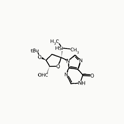 C[SiH](C)[C@@]1(n2cnc3c(=O)[nH]cnc32)C[C@H](OC(C)(C)C)[C@@H](C=O)O1